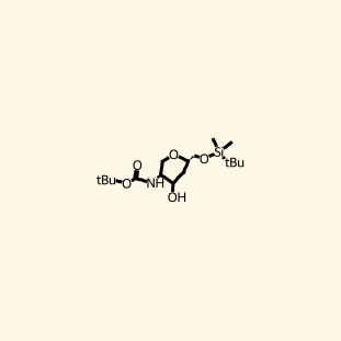 CC(C)(C)OC(=O)N[C@H]1CO[C@H](CO[Si](C)(C)C(C)(C)C)CC1O